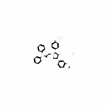 COc1ccc([C@@H]2[C@@H](C(=O)O)[C@@H](c3ccc4c(c3)OCO4)CN2CC(=O)N(c2ccccc2)c2ccccc2)cc1